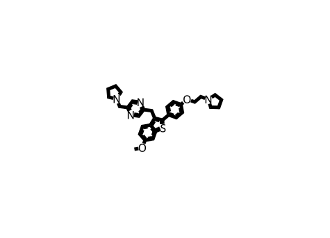 COc1ccc2c(Cc3cnc(CN4CCCC4)cn3)c(-c3ccc(OCCN4CCCC4)cc3)sc2c1